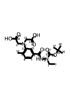 CCN(NC(=O)c1ccc(C)c(N(CC(=O)O)CC(=O)O)c1)C(=O)OC(C)(C)C